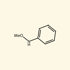 CONc1c[c]ccc1